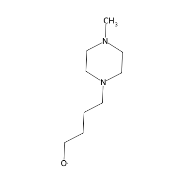 CN1CCN(CCCC[O])CC1